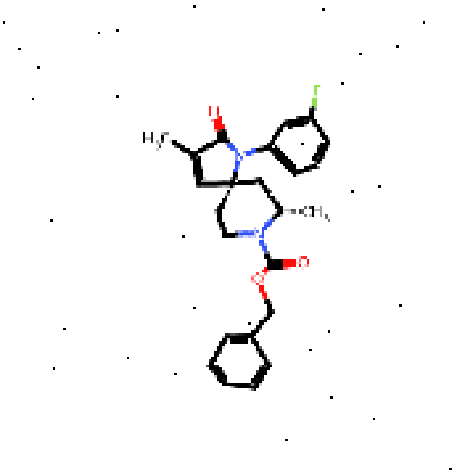 CC1=C[C@]2(CCN(C(=O)OCc3ccccc3)[C@@H](C)C2)N(c2cccc(F)c2)C1=O